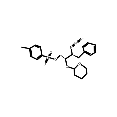 Cc1ccc(S(=O)(=O)OC[C@@H](OC2CCCCO2)[C@H](Cc2ccccc2)N=[N+]=[N-])cc1